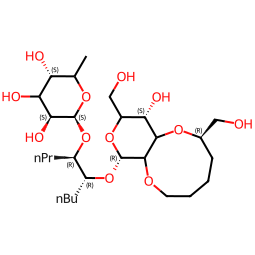 CCCC[C@@H](O[C@@H]1OC(CO)[C@H](O)C2O[C@@H](CO)CCCCOC21)[C@@H](CCC)O[C@@H]1OC(C)[C@@H](O)C(O)[C@@H]1O